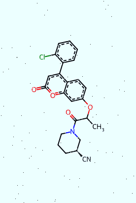 CC(Oc1ccc2c(-c3ccccc3Cl)cc(=O)oc2c1)C(=O)N1CCC[C@H](C#N)C1